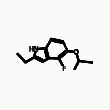 CCc1cc2c(F)c(OC(C)C)ccc2[nH]1